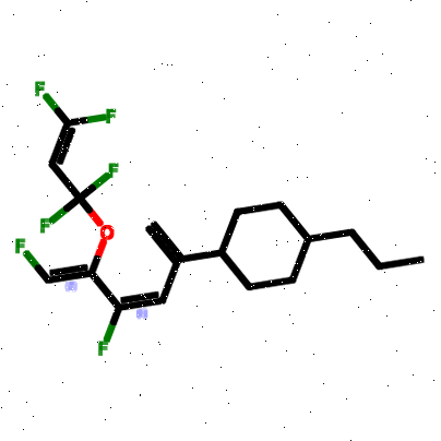 C=C(/C=C(F)\C(=C\F)OC(F)(F)C=C(F)F)C1CCC(CCC)CC1